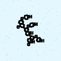 O=C1CCc2c(cc(OC3CCNCC3)cc2C2CCc3cc(C4CC(=O)c5ccc(OC6CCNCC6)cc5C4)c(OC4CCNCC4)cc3N2)N1